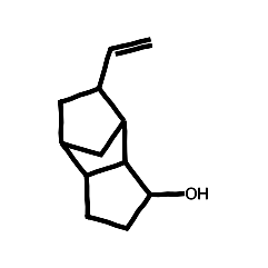 C=CC1CC2CC1C1C(O)CCC21